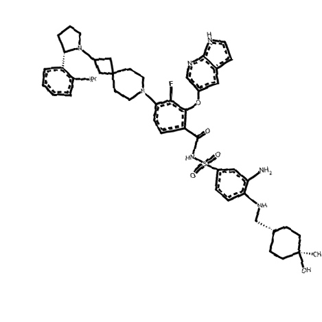 CC(C)c1ccccc1[C@@H]1CCCN1C1CC2(CCN(c3ccc(C(=O)NS(=O)(=O)c4ccc(NC[C@H]5CC[C@](C)(O)CC5)c(N)c4)c(Oc4cnc5[nH]ccc5c4)c3F)CC2)C1